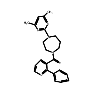 Cc1cc(C)nc(N2CCCN(C(=O)c3cccnc3-c3ccccc3)CC2)n1